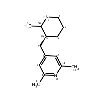 Cc1cc(C[C@@H]2CCCNC2C)cc(C)n1